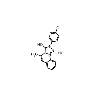 Cc1nc2ccccc2[n+]2nn(-c3ccc(Cl)nc3)c(O)c12.[OH-]